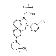 Cc1cccc(C2(Cc3cccc(N4CCCC(C)(F)C4)c3)CN(C[C@@H](O)C(F)(F)F)c3ccccc32)c1